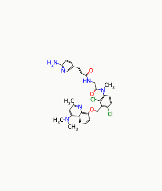 Cc1cc(N(C)C)c2cccc(OCc3c(Cl)ccc(N(C)C(=O)CNC(=O)C=Cc4ccc(N)nc4)c3Cl)c2n1